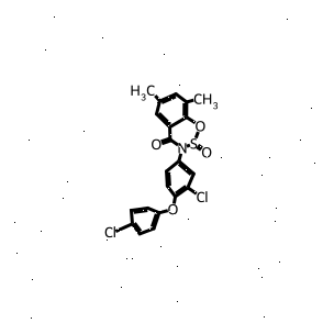 Cc1cc(C)c2c(c1)C(=O)N(c1ccc(Oc3ccc(Cl)cc3)c(Cl)c1)S(=O)O2